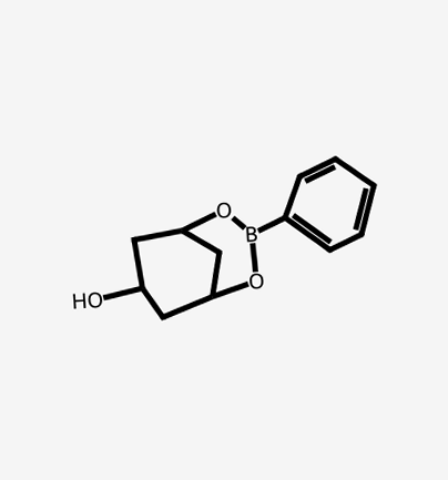 OC1CC2CC(C1)OB(c1ccccc1)O2